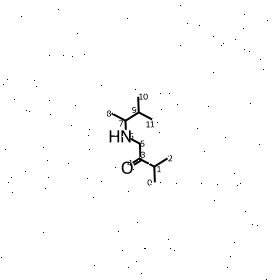 CC(C)C(=O)CNC(C)C(C)C